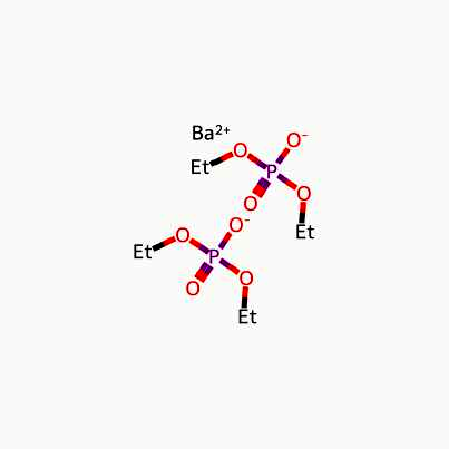 CCOP(=O)([O-])OCC.CCOP(=O)([O-])OCC.[Ba+2]